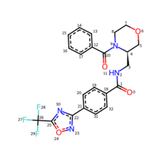 O=C(NC[C@@H]1COCCN1C(=O)c1ccccc1)c1ccc(-c2noc(C(F)(F)F)n2)cc1